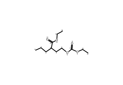 CCCC(CCOC(=O)OCC)C(=O)OCC